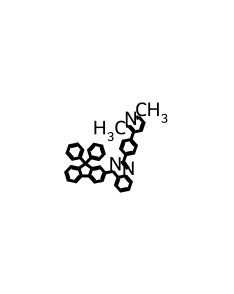 Cc1ccc(-c2ccc(-c3nc(-c4ccc5c(c4)C(c4ccccc4)(c4ccccc4)c4ccccc4-5)c4ccccc4n3)cc2)c(C)n1